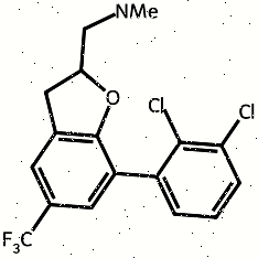 CNCC1Cc2cc(C(F)(F)F)cc(-c3cccc(Cl)c3Cl)c2O1